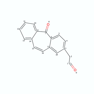 O=CCc1ccc2c(=O)c3ccccc3ccc2c1